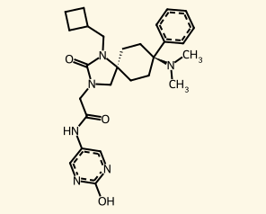 CN(C)[C@]1(c2ccccc2)CC[C@]2(CC1)CN(CC(=O)Nc1cnc(O)nc1)C(=O)N2CC1CCC1